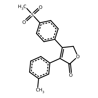 Cc1cccc(C2=C(c3ccc(S(C)(=O)=O)cc3)COC2=O)c1